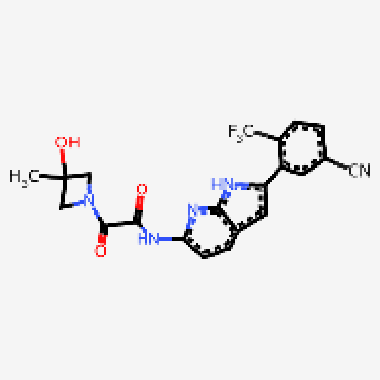 CC1(O)CN(C(=O)C(=O)Nc2ccc3cc(-c4cc(C#N)ccc4C(F)(F)F)[nH]c3n2)C1